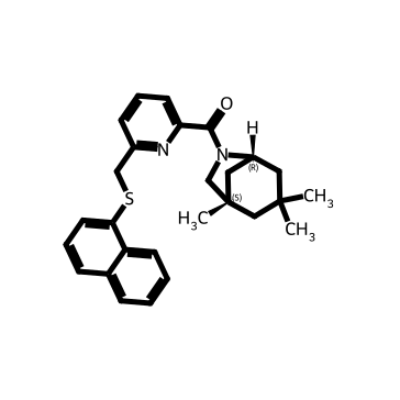 CC1(C)C[C@@H]2C[C@@](C)(CN2C(=O)c2cccc(CSc3cccc4ccccc34)n2)C1